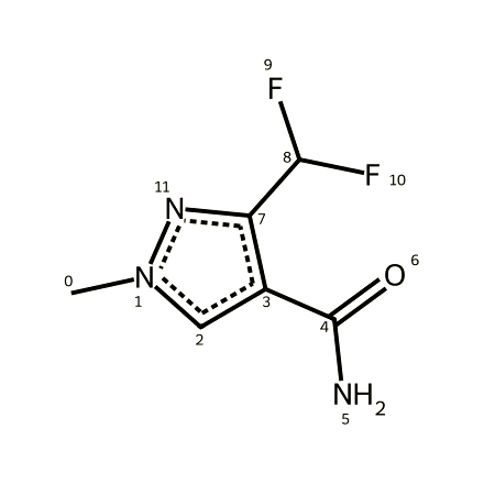 Cn1cc(C(N)=O)c(C(F)F)n1